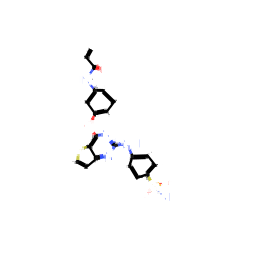 C=CC(=O)Nc1cccc(Oc2nc(Nc3ccc(S(N)(=O)=O)cc3)nc3ccsc23)c1